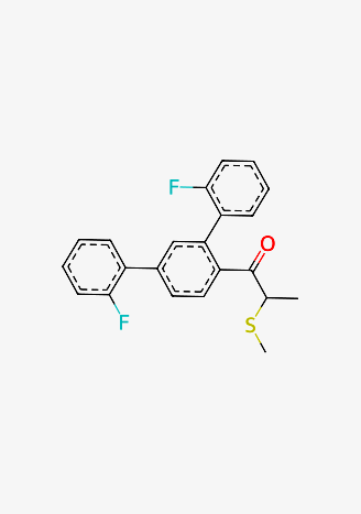 CSC(C)C(=O)c1ccc(-c2ccccc2F)cc1-c1ccccc1F